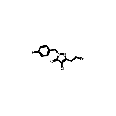 O=c1c(Cl)c(CCBr)[nH]n1Cc1ccc(F)cc1